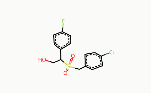 O=S(=O)(Cc1ccc(Cl)cc1)C(CO)c1ccc(F)cc1